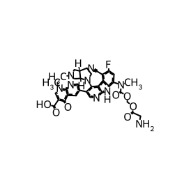 CN1C[C@@H]2CCN(c3c(-c4cnc5c(c4)c(=O)c(C(=O)O)cn5C)cnc4[nH]c5c(N(C)C(=O)OCOC(=O)CN)cc(F)c(C#N)c5c34)[C@@H]2C1